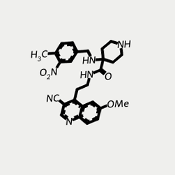 COc1ccc2ncc(C#N)c(CCNC(=O)C3(NCc4ccc(C)c([N+](=O)[O-])c4)CCNCC3)c2c1